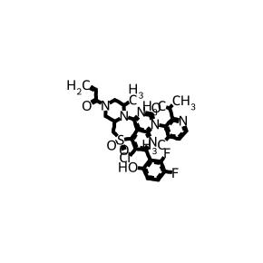 C=CC(=O)N1CC(C)N2c3nc(=O)n(-c4c(C)ccnc4C(C)C)c4nc(-c5c(O)ccc(F)c5F)c(Cl)c(c34)S(=O)(=O)CC2C1